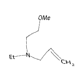 C=CCN(CC)CCOC